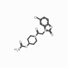 NC(=O)OC1CCN(C(=O)Cn2c(=O)sc3ccc(Cl)cc32)CC1